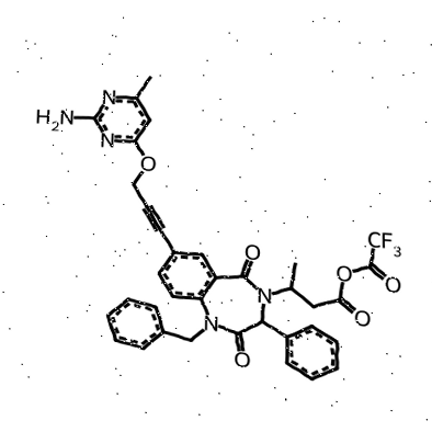 Cc1cc(OCC#Cc2ccc3c(c2)C(=O)N(C(C)CC(=O)OC(=O)C(F)(F)F)C(c2ccccc2)C(=O)N3Cc2ccccc2)nc(N)n1